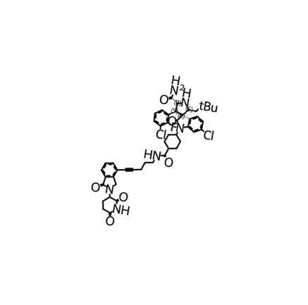 CC(C)(C)C[C@@H]1N[C@@H](C(N)=O)[C@H](c2cccc(Cl)c2F)[C@]12C(=O)N(C1CCC(C(=O)NCCCC#Cc3cccc4c3CN(C3CCC(=O)NC3=O)C4=O)CC1)c1cc(Cl)ccc12